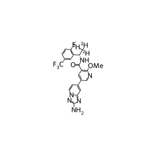 [2H]C([2H])([2H])[C@H](NC(=O)c1cc(-c2ccn3nc(N)nc3c2)cnc1OC)c1cc(C(F)(F)F)ccc1F